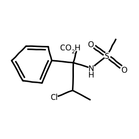 CC(Cl)C(NS(C)(=O)=O)(C(=O)O)c1ccccc1